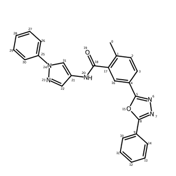 Cc1ccc(-c2nnc(-c3ccccc3)o2)cc1C(=O)Nc1cnn(-c2ccccc2)c1